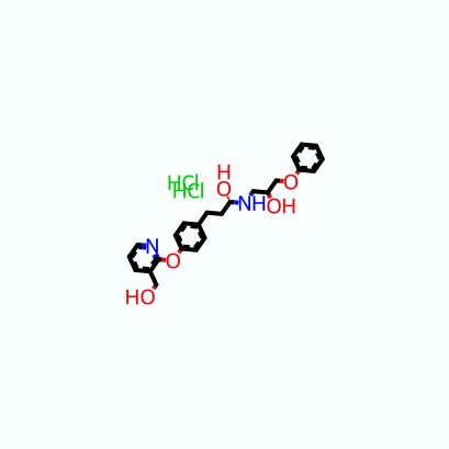 Cl.Cl.OCc1cccnc1Oc1ccc(CC[C@H](O)NCC(O)COc2ccccc2)cc1